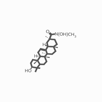 CN(O)C(=O)[C@@]1(C)CC[C@]2(C)CC[C@]3(C)C(=CC[C@@H]4[C@@]5(C)CC[C@H](O)C(C)(C)C5CC[C@]43C)[C@@H]2C1